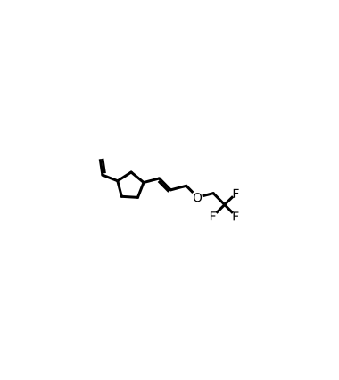 C=CC1CCC(/C=C/COCC(F)(F)F)C1